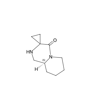 O=C1N2CCCC[C@H]2CNC12CC2